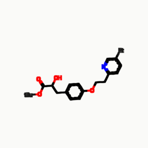 CCc1ccc(CCOc2ccc(CC(O)C(=O)OC(C)(C)C)cc2)nc1